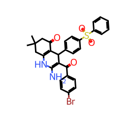 CC1(C)CC(=O)C2=C(C1)NC(N)=C(C(=O)c1ccc(Br)cc1)C2c1ccc(S(=O)(=O)c2ccccc2)cc1